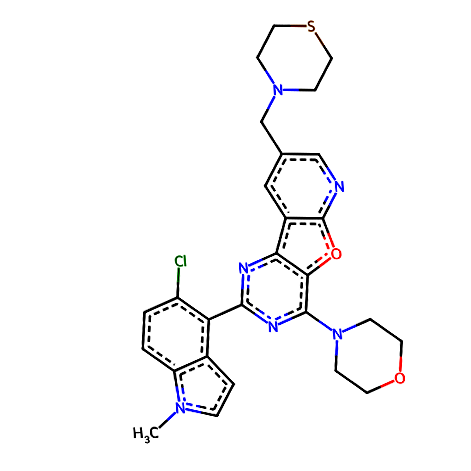 Cn1ccc2c(-c3nc(N4CCOCC4)c4oc5ncc(CN6CCSCC6)cc5c4n3)c(Cl)ccc21